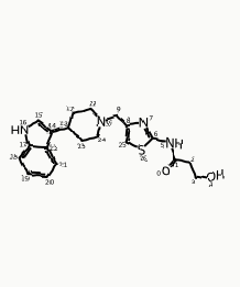 O=C(CCO)Nc1nc(CN2CCC(c3c[nH]c4ccccc34)CC2)cs1